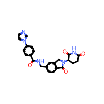 O=C1CCC(N2Cc3cc(CNC(=O)c4ccc(-n5ccnc5)cc4)ccc3C2=O)C(=O)N1